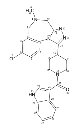 CN1Cc2cc(Cl)ccc2-n2c(nnc2C2CCN(C(=O)c3c[nH]c4ccccc34)CC2)C1